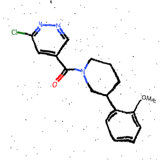 COc1ccccc1C1CCCN(C(=O)c2cnnc(Cl)c2)C1